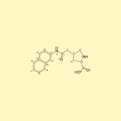 O=C(CC1CNC(C(=O)O)C1)Nc1ccc2ccccc2c1